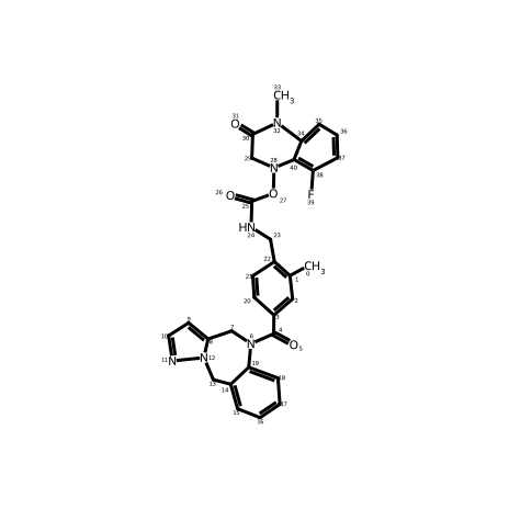 Cc1cc(C(=O)N2Cc3ccnn3Cc3ccccc32)ccc1CNC(=O)ON1CC(=O)N(C)c2cccc(F)c21